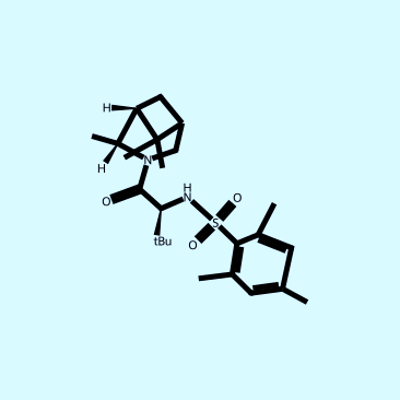 Cc1cc(C)c(S(=O)(=O)N[C@H](C(=O)N2CC3C[C@@H]([C@H]2C)C3(C)C)C(C)(C)C)c(C)c1